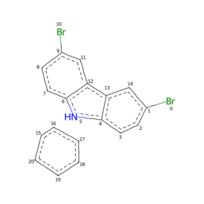 Brc1ccc2[nH]c3ccc(Br)cc3c2c1.c1ccccc1